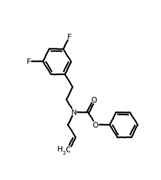 C=CCN(CCc1cc(F)cc(F)c1)C(=O)Oc1ccccc1